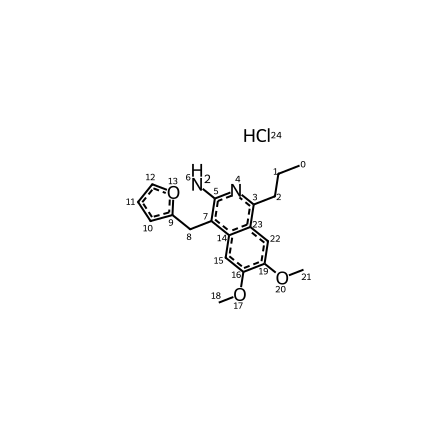 CCCc1nc(N)c(Cc2ccco2)c2cc(OC)c(OC)cc12.Cl